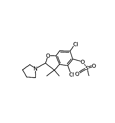 CC1(C)c2c(cc(Cl)c(OS(C)(=O)=O)c2Cl)OC1N1CCCC1